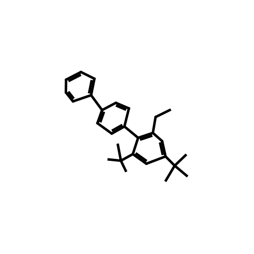 CCc1cc(C(C)(C)C)cc(C(C)(C)C)c1-c1ccc(-c2ccccc2)cc1